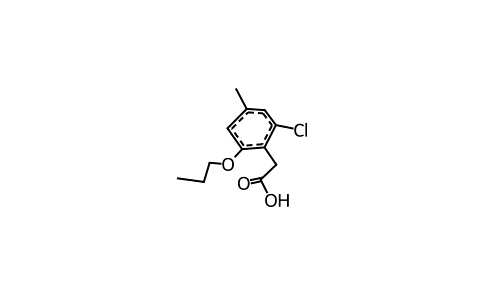 CCCOc1cc(C)cc(Cl)c1CC(=O)O